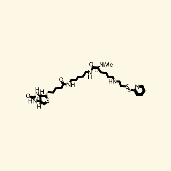 CN[C@@H](CCCCNCCSSc1ccccn1)C(=O)NCCCCCNC(=O)CCCC[C@@H]1SC[C@@H]2NC(=O)N[C@@H]21